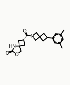 Cc1cc(C)cc(C2CC3(C2)CN(C(=O)[C@H]2C[C@]4(COC(=O)N4)C2)C3)c1